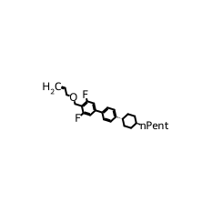 C=CCOCc1c(F)cc(-c2ccc([C@H]3CC[C@H](CCCCC)CC3)cc2)cc1F